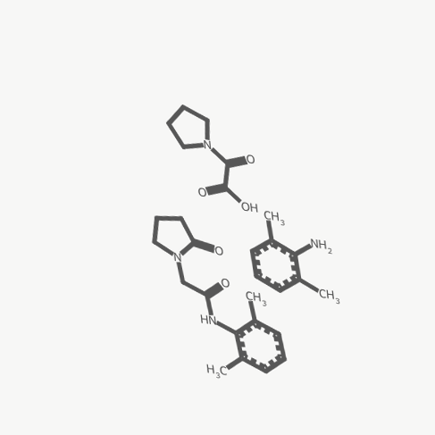 Cc1cccc(C)c1N.Cc1cccc(C)c1NC(=O)CN1CCCC1=O.O=C(O)C(=O)N1CCCC1